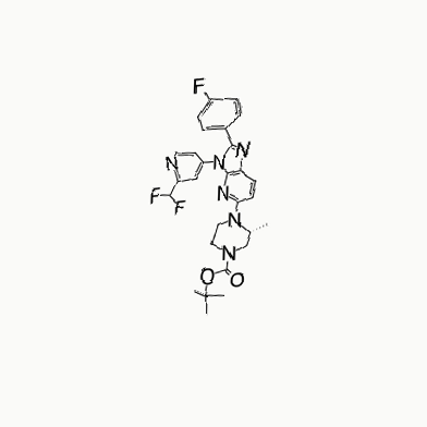 C[C@@H]1CN(C(=O)OC(C)(C)C)CCN1c1ccc2nc(-c3ccc(F)cc3)n(-c3ccnc(C(F)F)c3)c2n1